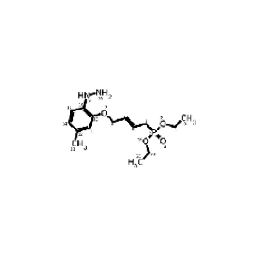 CCOP(=O)(C/C=C/COc1cc(C)ccc1NN)OCC